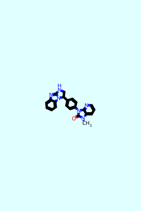 Cn1c(=O)n(-c2ccc(C3CNc4nc5ccccc5n43)cc2)c2ncccc21